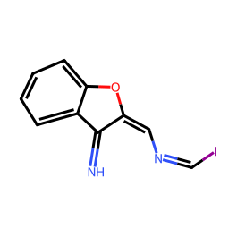 N=C1/C(=C\N=C/I)Oc2ccccc21